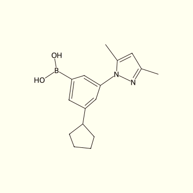 Cc1cc(C)n(-c2cc(B(O)O)cc(C3CCCC3)c2)n1